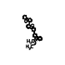 C=C/C=C\C(=C)n1c2ccccc2c2cc(-c3ccc4oc5c(-c6cccc7c6OC6C=CC=CC76)cccc5c4c3)ccc21